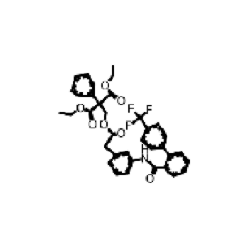 CCOC(=O)C(COC(=O)Cc1cccc(NC(=O)c2ccccc2-c2ccc(C(F)(F)F)cc2)c1)(C(=O)OCC)c1ccccc1